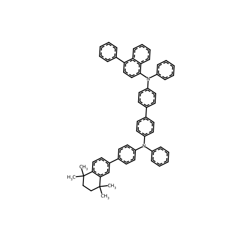 CC1(C)CCC(C)(C)c2cc(-c3ccc(N(c4ccccc4)c4ccc(-c5ccc(N(c6ccccc6)c6ccc(-c7ccccc7)c7ccccc67)cc5)cc4)cc3)ccc21